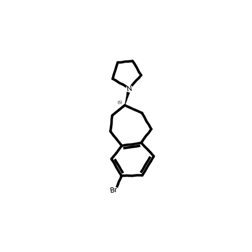 Brc1ccc2c(c1)CC[C@@H](N1CCCC1)CC2